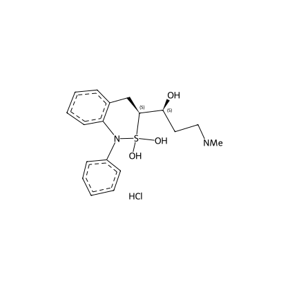 CNCC[C@H](O)[C@@H]1Cc2ccccc2N(c2ccccc2)S1(O)O.Cl